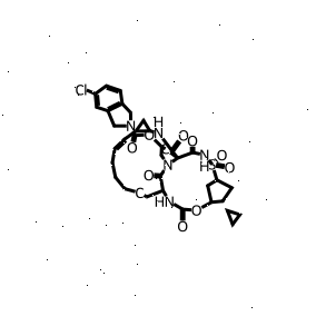 C1CC1.O=C1NC2CCCCCC=CC3CC3NC(=O)C3(CC(OC(=O)N4Cc5ccc(Cl)cc5C4)CN3C2=O)C(=O)NS(=O)(=O)C2CCC(C2)O1